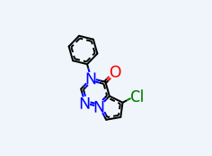 O=c1c2c(Cl)ccn2ncn1-c1ccccc1